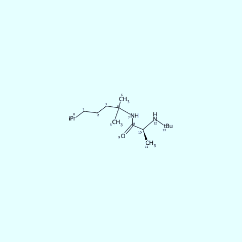 CC(C)CCCC(C)(C)NC(=O)[C@H](C)NC(C)(C)C